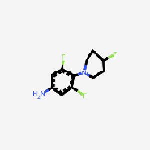 Nc1cc(F)c(N2CCC(F)CC2)c(F)c1